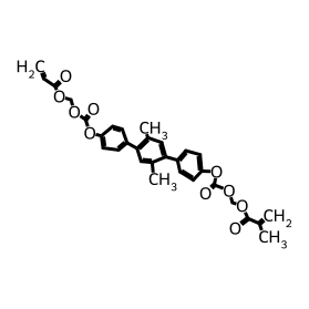 C=CC(=O)OCOC(=O)Oc1ccc(-c2cc(C)c(-c3ccc(OC(=O)OCOC(=O)C(=C)C)cc3)cc2C)cc1